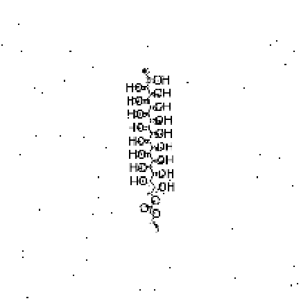 C=COC(=O)OCC(O)C(O)C(O)C(O)C(O)C(O)C(O)C(O)C(O)C(O)C(O)C(O)C(O)C(O)C(O)C(O)C(C)O